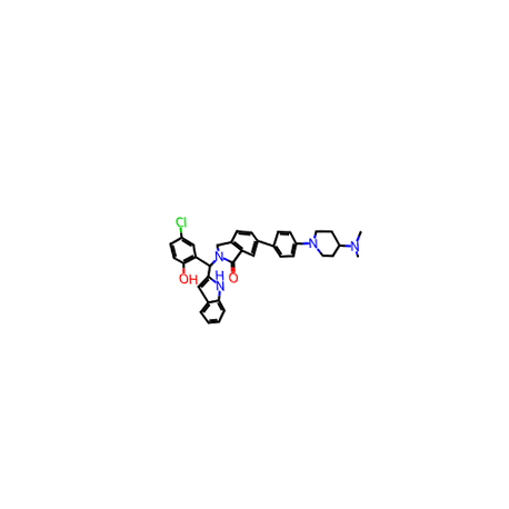 CN(C)C1CCN(c2ccc(-c3ccc4c(c3)C(=O)N(C(c3cc5ccccc5[nH]3)c3cc(Cl)ccc3O)C4)cc2)CC1